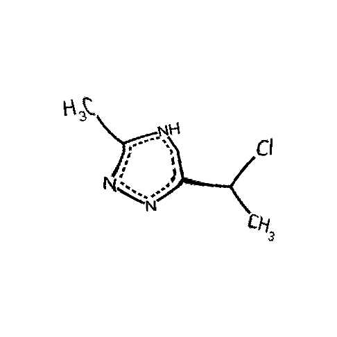 Cc1nnc(C(C)Cl)[nH]1